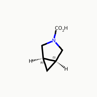 O=C(O)N1C[C@H]2C[C@H]2C1